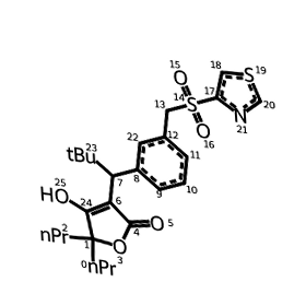 CCCC1(CCC)OC(=O)C(C(c2cccc(CS(=O)(=O)c3cscn3)c2)C(C)(C)C)=C1O